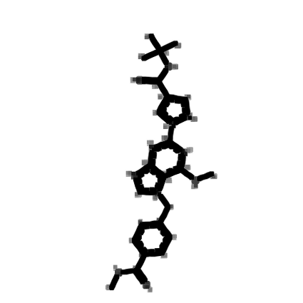 COC(=O)c1ccc(Cn2cnc3nc(-n4cc(C(=O)OC(C)(C)C)cn4)nc(OC)c32)cc1